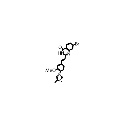 COc1cc(/C=C/c2nc3cc(Br)ccc3c(=O)[nH]2)ccc1-n1cnc(C)c1